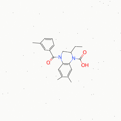 CCC1CN(C(=O)c2cccc(C)c2)c2cc(C)c(C)cc2N1C(=O)O